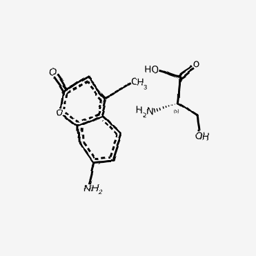 Cc1cc(=O)oc2cc(N)ccc12.N[C@@H](CO)C(=O)O